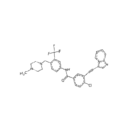 CN1CCN(Cc2ccc(NC(=O)c3ccc(Cl)c(C#Cc4cnc5ccccn45)c3)cc2C(F)(F)F)CC1